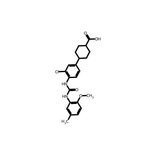 COc1ccc(C)cc1NC(=O)Nc1ccc(C2CCC(C(=O)O)CC2)cc1Cl